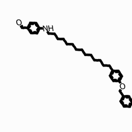 O=Cc1ccc(NCCCCCCCCCCCCCCc2ccc(OCc3ccccc3)cc2)cc1